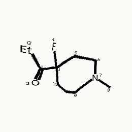 CCC(=O)C1(F)CCN(C)CC1